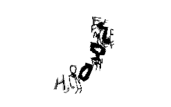 CC(=O)Nc1ccc(-n2cc(-c3ccc(-n4nc(C(F)(F)F)cc4C(F)(F)F)cc3)nn2)cc1